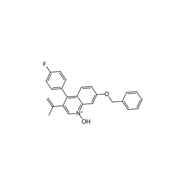 C=C(C)c1c[n+](O)c2cc(OCc3ccccc3)ccc2c1-c1ccc(F)cc1